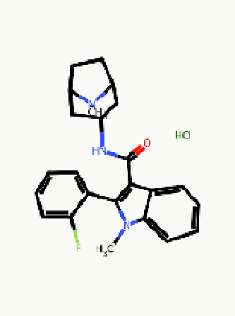 CN1C2CCC1CC(NC(=O)c1c(-c3ccccc3F)n(C)c3ccccc13)C2.Cl